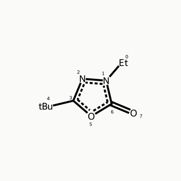 CCn1nc(C(C)(C)C)oc1=O